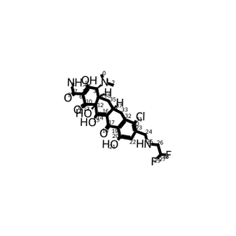 CN(C)[C@@H]1C(O)=C(C(N)=O)C(=O)[C@@]2(O)C(O)=C3C(=O)c4c(O)cc(CNCC(F)F)c(Cl)c4C[C@H]3C[C@@H]12